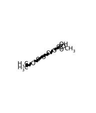 CCOP(=O)(O)OCCOCCOCCOCCOCCOCCC(C)C